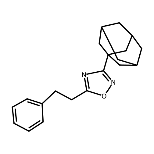 c1ccc(CCc2nc(C34CC5CC(CC(C5)C3)C4)no2)cc1